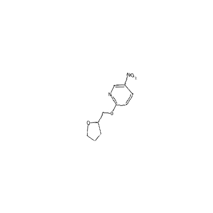 O=[N+]([O-])c1ccc(OCC2CCCO2)nc1